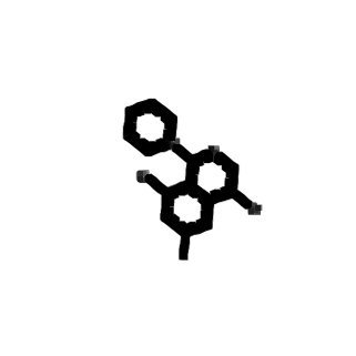 Cc1cc(Cl)c2c(-[n+]3ccccc3)ncc(Br)c2c1